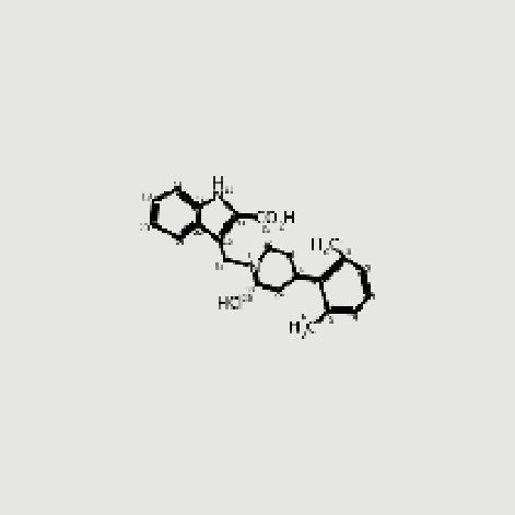 Cc1cccc(C)c1C1CCN(Cc2c(C(=O)O)[nH]c3ccccc23)CC1.Cl